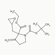 C=C1CCN(C(=O)OC(C)(C)C)C1(CC1CO1)C(=O)OCC